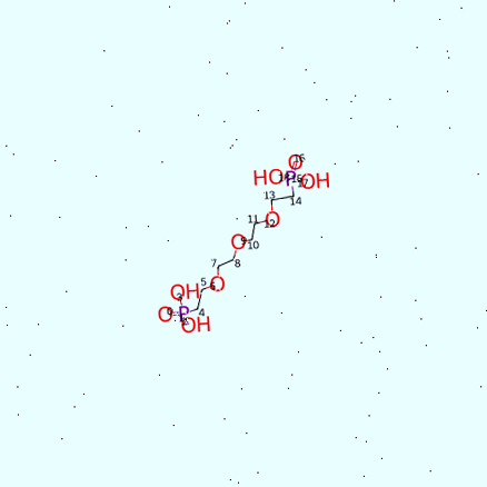 O=P(O)(O)CCOCCOCCOCCP(=O)(O)O